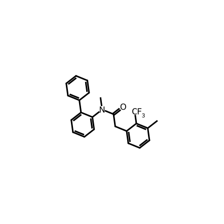 Cc1cccc(CC(=O)N(C)c2ccccc2-c2ccccc2)c1C(F)(F)F